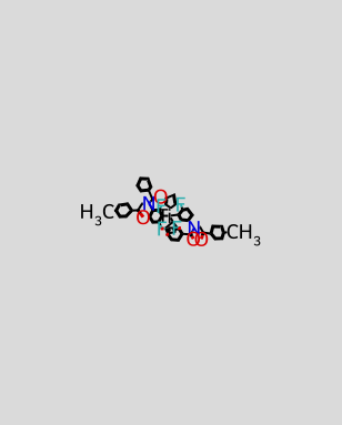 Cc1ccc(C(=O)CN(C(=O)c2ccccc2)c2ccc(F)[c]([Ti]([c]3c(F)ccc(N(CC(=O)c4ccc(C)cc4)C(=O)c4ccccc4)c3F)([CH]3C=CC=C3)[CH]3C=CC=C3)c2F)cc1